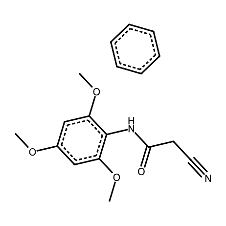 COc1cc(OC)c(NC(=O)CC#N)c(OC)c1.c1ccccc1